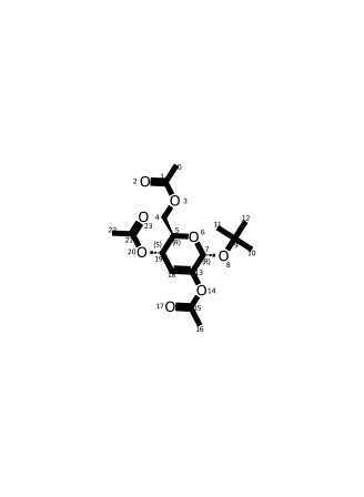 CC(=O)OC[C@H]1O[C@H](OC(C)(C)C)C(OC(C)=O)=C[C@@H]1OC(C)=O